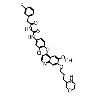 COc1cc2c(Oc3ccc(NC(=S)NC(=O)Cc4cccc(F)c4)cc3Cl)ccnc2cc1OCCCC1COCCN1